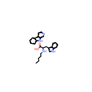 CCCCCNC(Cc1c[nH]c2ccccc12)C(=O)O.c1ccc2c(c1)[nH]c1cnccc12